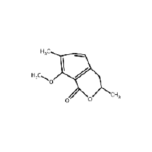 COc1c(C)ccc2c1C(=O)OC(C)C2